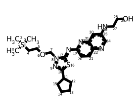 C[Si](C)(C)CCOCn1nc(C2CCCC2)s/c1=N\c1ccc2ncc(NCCO)cc2n1